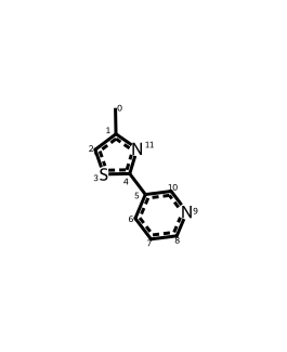 Cc1[c]sc(-c2cccnc2)n1